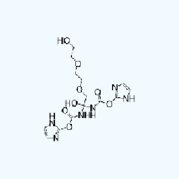 O=C(NC(O)(COCCOCCO)NC(=O)Oc1ncc[nH]1)Oc1ncc[nH]1